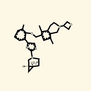 Cc1cc(COc2c(C)cccc2-c2csc(N3CC[C@@]4(C(=O)O)C[C@H]4C3)n2)c(C)c2c1CN(C1COC1)CC2